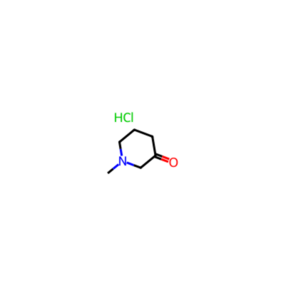 CN1CCCC(=O)C1.Cl